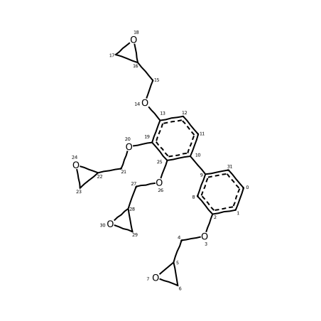 c1cc(OCC2CO2)cc(-c2ccc(OCC3CO3)c(OCC3CO3)c2OCC2CO2)c1